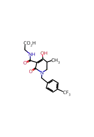 CC1CN(Cc2ccc(C(F)(F)F)cc2)C(=O)C(C(=O)NCC(=O)O)=C1O